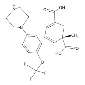 C[C@@]1(C(=O)O)C=CC=C(C(=O)O)C1.FC(F)(F)Oc1ccc(N2CCNCC2)cc1